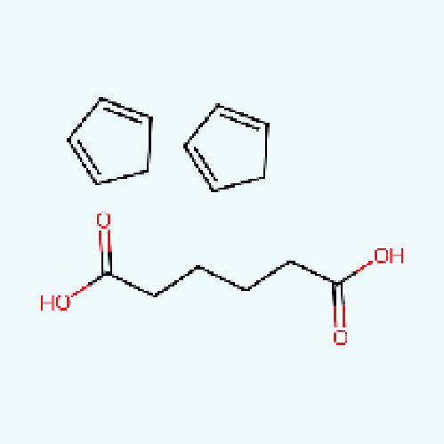 C1=CCC=C1.C1=CCC=C1.O=C(O)CCCCC(=O)O